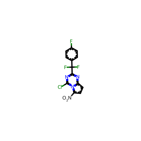 O=[N+]([O-])c1ccc2nc(C(F)(F)c3ccc(F)cc3)nc(Cl)n12